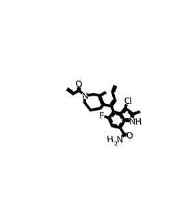 C=C/C=C(\C1=C(C)CN(C(=O)C=C)CCC1)c1c(F)cc(C(N)=O)c2[nH]c(C)c(Cl)c12